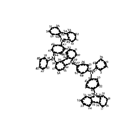 c1ccc(N(c2ccc(-n3c4ccccc4c4ccccc43)cc2)c2ccc(-n3c4ccccc4c4c(N(c5ccccc5)c5ccc(-n6c7ccccc7c7ccccc76)cc5)cccc43)cc2)cc1